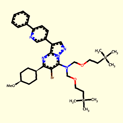 CO[C@H]1CC[C@@H](c2nc3c(-c4ccc(-c5ccccc5)nc4)cnn3c(N(COCC[Si](C)(C)C)COCC[Si](C)(C)C)c2Br)CC1